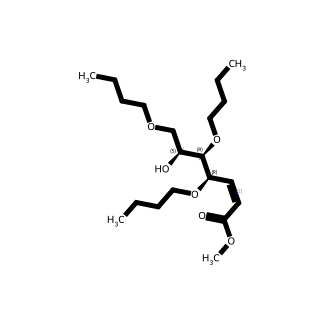 CCCCOC[C@H](O)[C@@H](OCCCC)[C@@H](/C=C\C(=O)OC)OCCCC